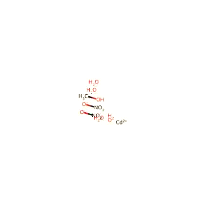 CO.O.O.O.O.O=[N+]([O-])[O-].O=[N+]([O-])[O-].[Cd+2]